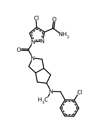 CN(Cc1ccccc1Cl)C1CC2CN(C(=O)n3cc(Cl)c(C(N)=O)n3)CC2C1